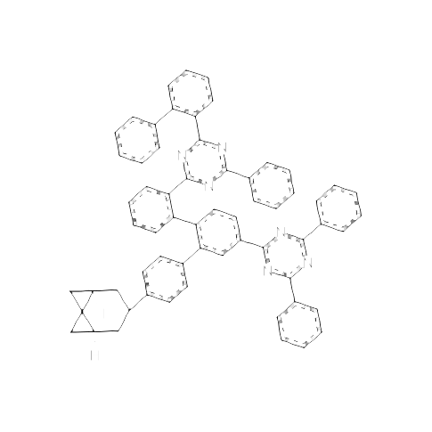 C[C@]1(c2ccc(-c3cc(-c4nc(-c5ccccc5)nc(-c5ccccc5)n4)ccc3-c3ccccc3-c3nc(-c4ccccc4)nc(-c4ccccc4-c4ccccc4)n3)cc2)C[C@H]2CC23C[C@H]3C1